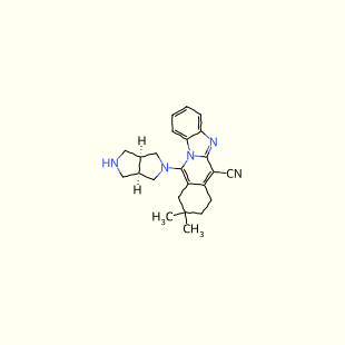 CC1(C)CCc2c(c(N3C[C@H]4CNC[C@H]4C3)n3c(nc4ccccc43)c2C#N)C1